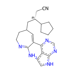 N#CC[C@@H](CC1C=C(c2ncnc3[nH]ccc23)C(N)=NCC1)C1CCCC1